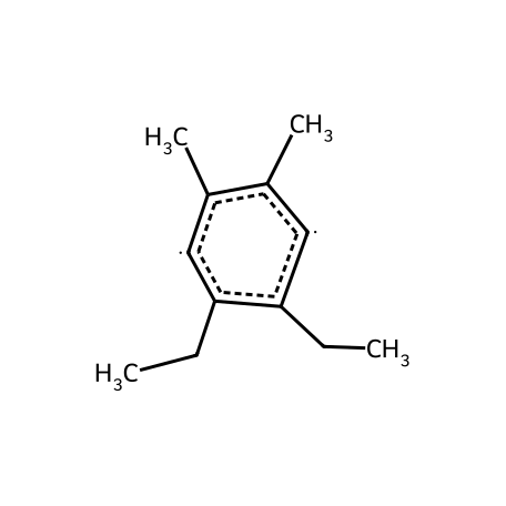 CCc1[c]c(C)c(C)[c]c1CC